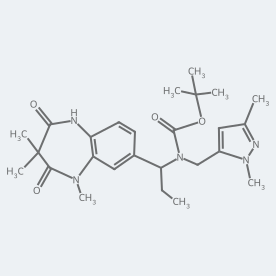 CCC(c1ccc2c(c1)N(C)C(=O)C(C)(C)C(=O)N2)N(Cc1cc(C)nn1C)C(=O)OC(C)(C)C